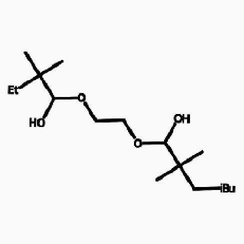 CCC(C)CC(C)(C)C(O)OCCOC(O)C(C)(C)CC